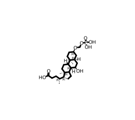 C[C@H](CCC(=O)O)[C@H]1CCC2[C@@H]3[C@@H](O)C[C@@H]4C[C@H](OCOP(=O)(O)O)CC[C@]4(C)[C@H]3CC[C@@]21C